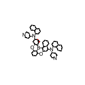 c1cc2c3c(c1)Oc1cc(N(c4ccncc4)c4cccc5ccccc45)c4ccccc4c1B3c1c(cc(N(c3ccncc3)c3cccc4ccccc34)c3ccccc13)O2